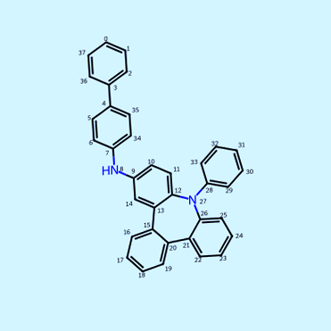 c1ccc(-c2ccc(Nc3ccc4c(c3)-c3ccccc3-c3ccccc3N4c3ccccc3)cc2)cc1